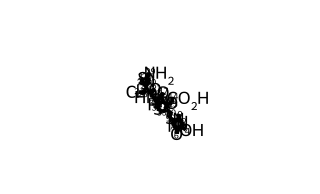 Cn1nc(O)c(=O)nc1SCC1=C(OC(=O)O)N2C(=O)C(NC(=O)C(=CCl)c3csc(N)n3)[C@@H]2SC1